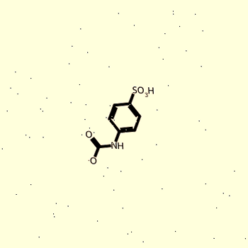 [O]C(=O)Nc1ccc(S(=O)(=O)O)cc1